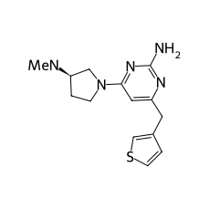 CN[C@@H]1CCN(c2cc(Cc3ccsc3)nc(N)n2)C1